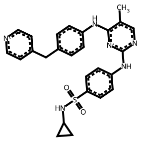 Cc1cnc(Nc2ccc(S(=O)(=O)NC3CC3)cc2)nc1Nc1ccc(Cc2ccncc2)cc1